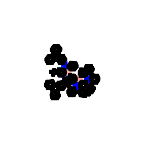 CC(C)(C)c1cc2c3c(c1)N(c1ccc4c5ccccc5c5ccccc5c4c1)c1cc4c(cc1B3c1ccccc1N2c1ccc2c3ccccc3c3ccccc3c2c1)B1c2ccccc2N(c2c(-c3ccccc3)cccc2-c2ccccc2)c2cc(C(C)(C)C)cc(c21)N4c1c(-c2ccccc2)cccc1-c1ccccc1